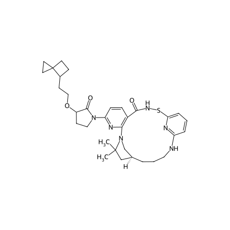 CC1(C)C[C@@H]2CCCNc3cccc(n3)SNC(=O)c3ccc(N4CCC(OCCC5CCC56CC6)C4=O)nc3N1C2